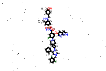 CC(C)c1ccccc1[C@@H]1CN(Cc2c(F)cccc2F)CCN1C1CC2(CCN(c3cc(Oc4cnc5[nH]ccc5c4)c(C(=O)NS(=O)(=O)c4ccc(NCC5CCC(C)(O)CC5)c([N+](=O)[O-])c4)cc3F)CC2)C1